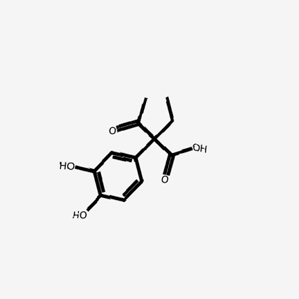 CCC(C(C)=O)(C(=O)O)c1ccc(O)c(O)c1